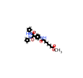 COC(=O)CCCCCCC(=O)Nc1ccc(C(C(=O)NC2CCCC2)C(=O)NC2CCCC2)cc1